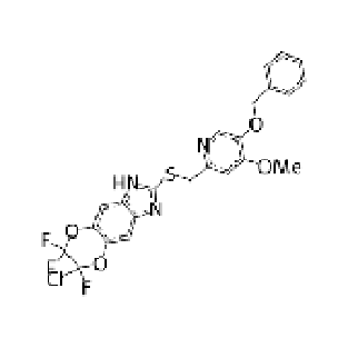 COc1cc(CSc2nc3cc4c(cc3[nH]2)OC(F)(F)C(F)(Cl)O4)ncc1OCc1ccccc1